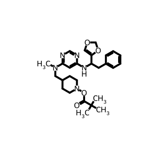 CN(CC1CCN(OC(=O)C(C)(C)C)CC1)c1cc(NC(Cc2ccccc2)C2=COCO2)ncn1